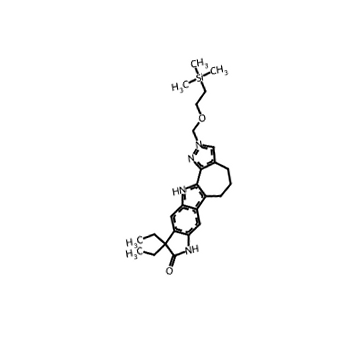 CCC1(CC)C(=O)Nc2cc3c4c([nH]c3cc21)-c1nn(COCC[Si](C)(C)C)cc1CCC4